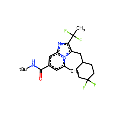 Cc1cc(C(=O)NC(C)(C)C)cc2nc(C(C)(F)F)c(CC3CCC(F)(F)CC3)n12